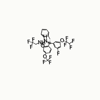 O=C(NCC(F)(F)F)N[C@](Cc1ccccc1)(c1ccc(OC(F)(F)F)cc1)c1cc(F)cc(OC(F)(F)C(F)F)c1